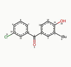 CC(C)(C)c1cc(C(=O)c2cccc(Cl)c2)ccc1O